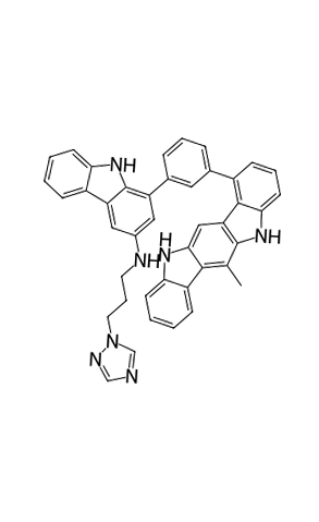 Cc1c2[nH]c3cccc(-c4cccc(-c5cc(NCCCn6cncn6)cc6c5[nH]c5ccccc56)c4)c3c2cc2[nH]c3ccccc3c12